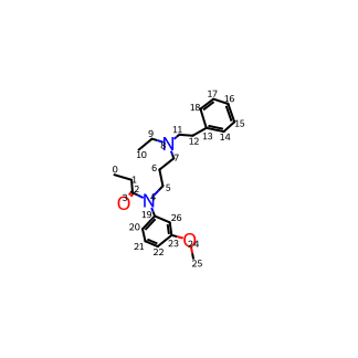 CCC(=O)N(CCCN(CC)CCc1ccccc1)c1cccc(OC)c1